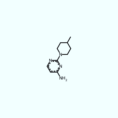 CC1CCN(c2nccc(N)n2)CC1